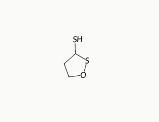 SC1CCOS1